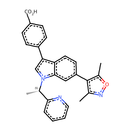 Cc1noc(C)c1-c1ccc2c(-c3ccc(C(=O)O)cc3)cn([C@@H](C)c3ccccn3)c2c1